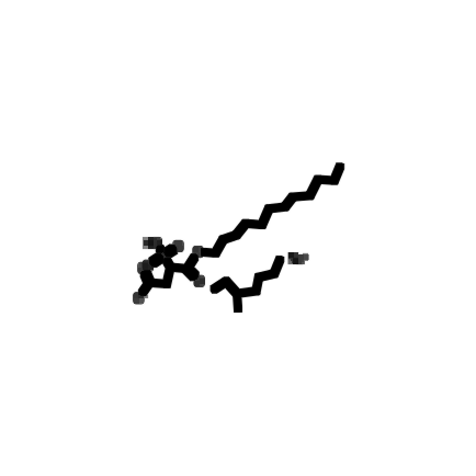 CCCCC(C)CC.CCCCCCCCCCCCOC(=O)C(CC(=O)[O-])S(=O)(=O)O.[Na+]